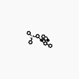 c1ccc(-c2ccc3c(c2)C2(c4ccccc4Cc4ccccc42)c2cc(-c4cccc(-c5nc(-c6ccccc6)nc(-c6ccccc6)n5)c4)ccc2-3)cc1